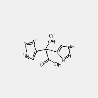 O=C(O)C(O)(c1c[nH]nn1)c1c[nH]nn1.[Cd]